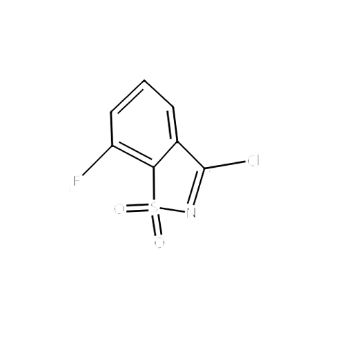 O=S1(=O)N=C(Cl)c2cccc(F)c21